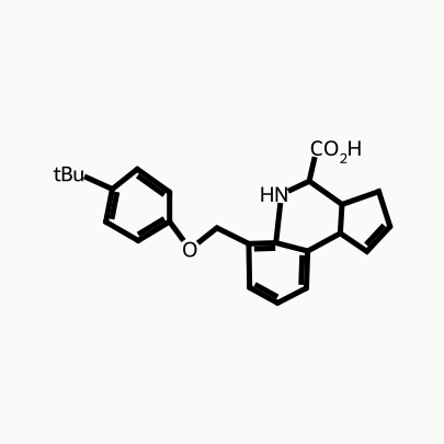 CC(C)(C)c1ccc(OCc2cccc3c2NC(C(=O)O)C2CC=CC32)cc1